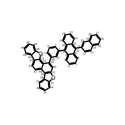 c1cc(-c2c3ccccc3c(-c3ccc4ccccc4c3)c3ccccc23)cc(-c2cc3oc4ccccc4c3c3ccc4c5ccccc5oc4c23)c1